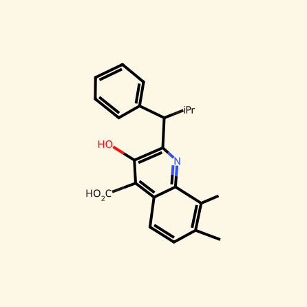 Cc1ccc2c(C(=O)O)c(O)c(C(c3ccccc3)C(C)C)nc2c1C